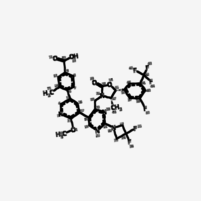 COc1ncc(-c2ccc(C(=O)O)cc2C)cc1-c1cnc(N2CC(F)(F)C2)nc1CN1C(=O)O[C@H](c2cc(F)cc(C(F)(F)F)c2)[C@@H]1C